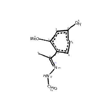 COc1cc(O)ccc1/C(C)=N/NC=O